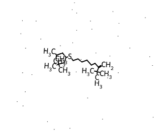 C=C(CCCCCCSC(CC(C)C)CC(C)(C)C)C(C)(C)C